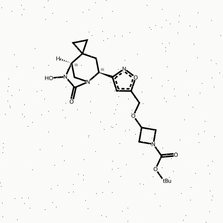 CC(C)(C)OC(=O)N1CC(OCc2cc([C@@H]3CC4(CC4)[C@H]4CN3C(=O)N4O)no2)C1